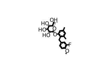 COc1ccc(Cc2c(C)cc(C)cc2O[C@@H]2O[C@H]([C@@H](C)O)[C@@H](O)[C@H](O)[C@H]2O)cc1F